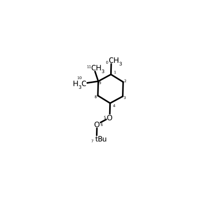 CC1CCC(OOC(C)(C)C)CC1(C)C